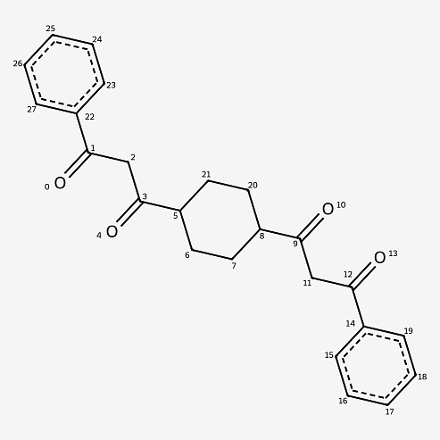 O=C(CC(=O)C1CCC(C(=O)CC(=O)c2ccccc2)CC1)c1ccccc1